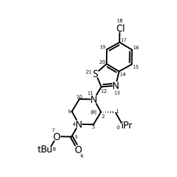 CC(C)C[C@@H]1CN(C(=O)OC(C)(C)C)CCN1c1nc2ccc(Cl)cc2s1